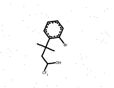 CC(C)(CC(O)C(F)(F)F)c1ccccc1Br